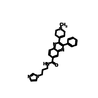 CN1CC=C(c2nc3ccc(C(=O)NCCCn4ccnc4)cc3nc2-c2ccccc2)CC1